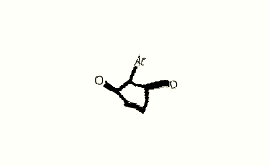 CC(=O)C1C(=O)CCC1=O